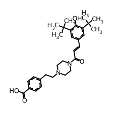 CC(C)(C)c1cc(C=CC(=O)N2CCN(CCc3ccc(C(=O)O)cc3)CC2)cc(C(C)(C)C)c1O